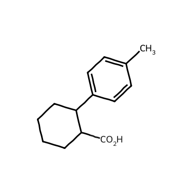 Cc1ccc(C2CCCCC2C(=O)O)cc1